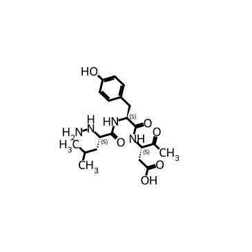 CC(=O)[C@H](CC(=O)O)NC(=O)[C@H](Cc1ccc(O)cc1)NC(=O)[C@H](CC(C)C)NN